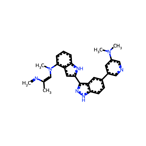 C=N/C(C)=C\N(C)c1cccc2[nH]c(-c3n[nH]c4ccc(-c5cncc(N(C)C)c5)cc34)cc12